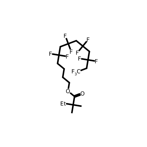 CCC(C)(C)C(=O)OCCCCC(F)(F)CC(F)(F)CC(F)(F)CC(F)(F)CC(F)(F)F